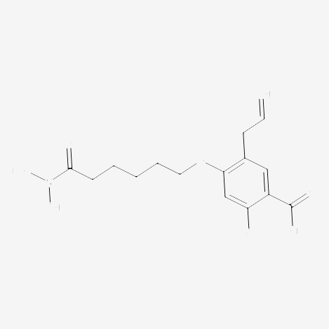 C=CCc1cc(C(C)=O)c(O)cc1OCCCCCC(=O)N(C)C